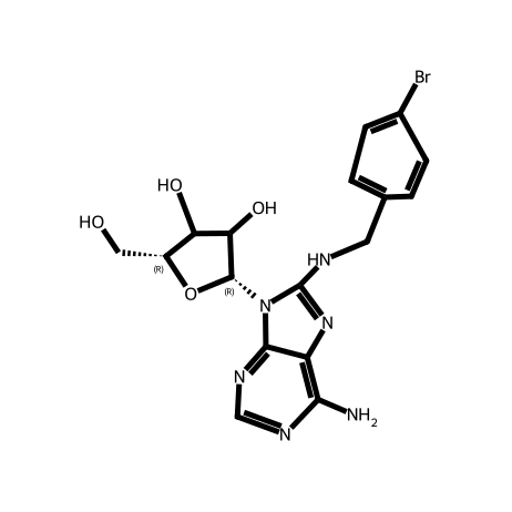 Nc1ncnc2c1nc(NCc1ccc(Br)cc1)n2[C@@H]1O[C@H](CO)C(O)C1O